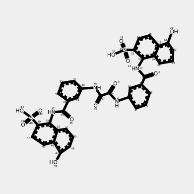 O=C(Nc1cccc(C(=O)Nc2c(S(=O)(=O)O)ccc3c(O)cccc23)c1)C(=O)Nc1cccc(C(=O)Nc2c(S(=O)(=O)O)ccc3c(O)cccc23)c1